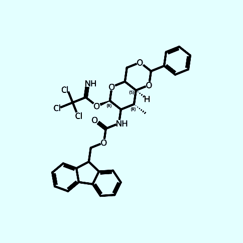 C[C@@H]1C(NC(=O)OCC2c3ccccc3-c3ccccc32)[C@@H](OC(=N)C(Cl)(Cl)Cl)OC2COC(c3ccccc3)O[C@H]21